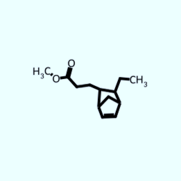 CCC1C2C=CC(C2)C1CCC(=O)OC